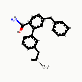 C[C@H](Cc1cccc(-c2cc(Cc3ccccc3)ccc2C(N)=O)c1)C(=O)O